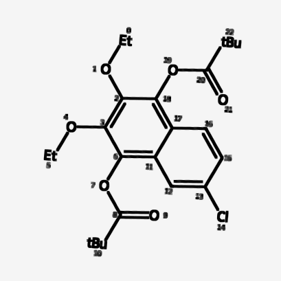 CCOc1c(OCC)c(OC(=O)C(C)(C)C)c2cc(Cl)ccc2c1OC(=O)C(C)(C)C